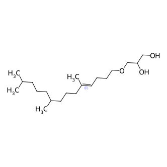 C/C(=C\CCCOCC(O)CO)CCCC(C)CCCC(C)C